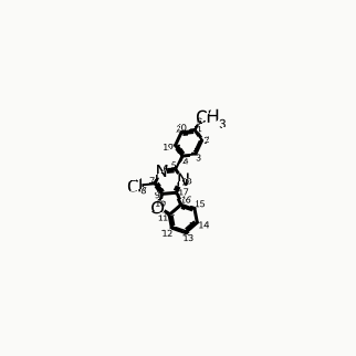 Cc1ccc(-c2nc(Cl)c3oc4ccccc4c3n2)cc1